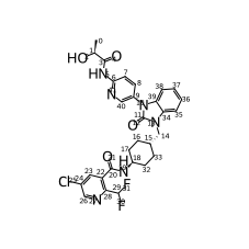 C[C@H](O)C(=O)Nc1ccc(-n2c(=O)n(C[C@H]3CC[C@H](NC(=O)c4cc(Cl)cnc4C(F)F)CC3)c3ccccc32)cn1